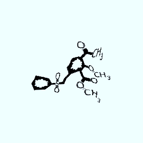 COC(=O)c1c(CS(=O)(=O)c2ccccc2)ccc(C(C)=O)c1OC